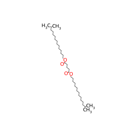 CC(C)CCCCCCCCCCCCCOC(=O)CCCC(=O)OCCCCCCCCCCCCCC(C)C